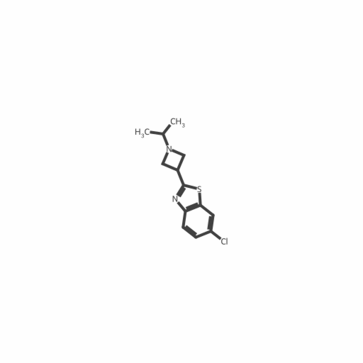 CC(C)N1CC(c2nc3ccc(Cl)cc3s2)C1